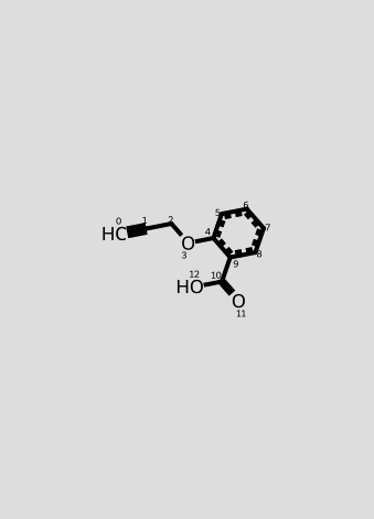 C#CCOc1ccccc1C(=O)O